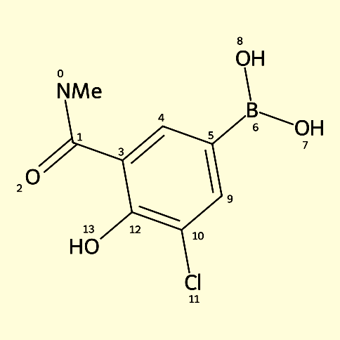 CNC(=O)c1cc(B(O)O)cc(Cl)c1O